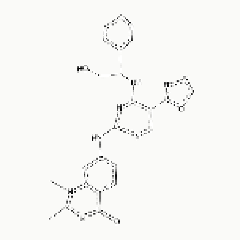 Cc1nc(=O)c2ccc(Nc3ncc(-c4nnco4)c(N[C@H](CO)c4ccccc4)n3)cc2n1C